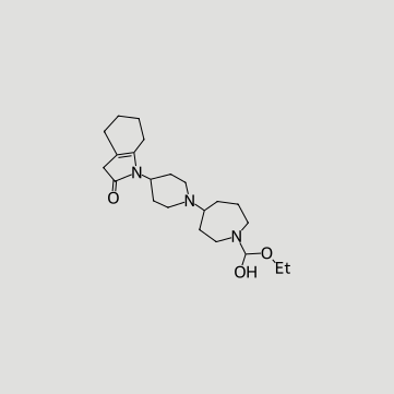 CCOC(O)N1CCCC(N2CCC(N3C(=O)CC4=C3CCCC4)CC2)CC1